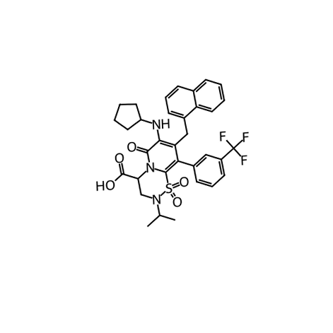 CC(C)N1CC(C(=O)O)n2c(c(-c3cccc(C(F)(F)F)c3)c(Cc3cccc4ccccc34)c(NC3CCCC3)c2=O)S1(=O)=O